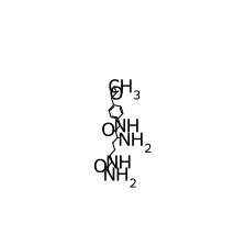 COCc1ccc(NC(=O)C(N)CCCNC(N)=O)cc1